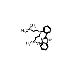 CN(C)CCN(CCN(C)C)c1ccccc1-c1nc2ccccc2[nH]1